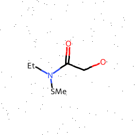 CCN(SC)C(=O)C[O]